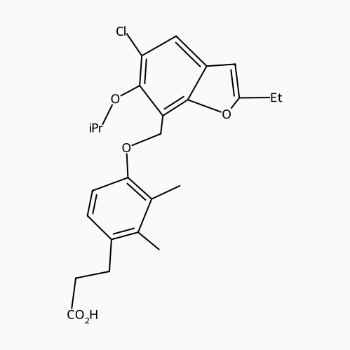 CCc1cc2cc(Cl)c(OC(C)C)c(COc3ccc(CCC(=O)O)c(C)c3C)c2o1